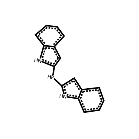 c1ccc2[nH]c(Pc3cc4ccccc4[nH]3)cc2c1